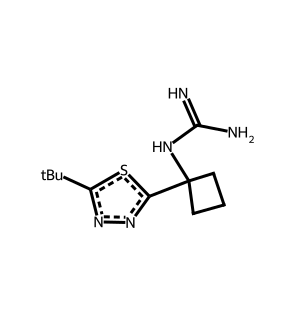 CC(C)(C)c1nnc(C2(NC(=N)N)CCC2)s1